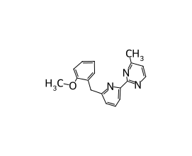 COc1ccccc1Cc1cccc(-c2nccc(C)n2)n1